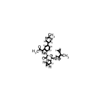 CC(=O)c1nn(CC(=O)N2[C@@H]3C[C@@H]3C[C@H]2C(=O)NC/C(F)=C(/C)C2CC2)c2ccc(-c3cnc(C)nc3)cc12